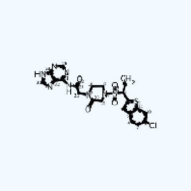 C=CC(c1cc2ccc(Cl)cc2s1)S(=O)(=O)N1CCN(CC(=O)Nc2ncnc3[nH]cnc23)C(=O)C1